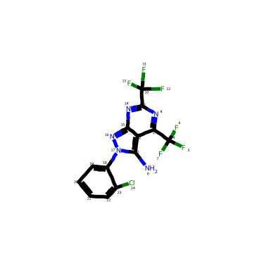 Nc1c2c(C(F)(F)F)nc(C(F)(F)F)nc2nn1-c1ccccc1Cl